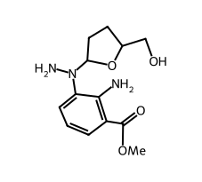 COC(=O)c1cccc(N(N)C2CCC(CO)O2)c1N